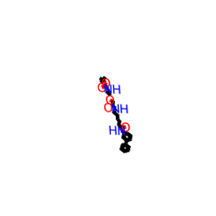 CC(C)(C)OC(=O)NCCOCC(=O)NCCCCCC(=O)Nc1cccc(-c2ccccc2)c1